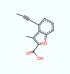 CC#Cc1cccc2oc(C(=O)O)c(C)c12